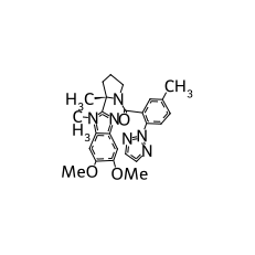 COc1cc2nc([C@]3(C)CCCN3C(=O)c3cc(C)ccc3-n3nccn3)n(C)c2cc1OC